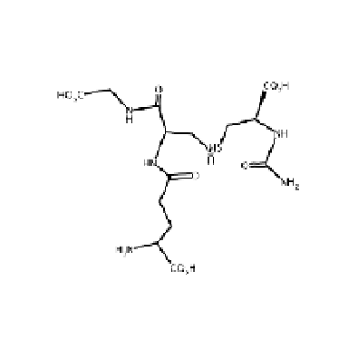 NC(=O)N[C@@H](CS)C(=O)O.NC(CCC(=O)NC(CS)C(=O)NCC(=O)O)C(=O)O